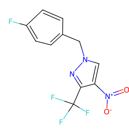 O=[N+]([O-])c1cn(Cc2ccc(F)cc2)nc1C(F)(F)F